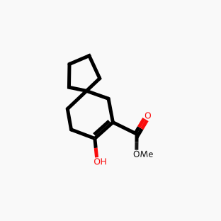 COC(=O)C1=C(O)CCC2(CCCC2)C1